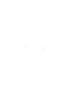 CCNc1nc(NCC)nc(NCC2CCC(CNS(C)(=O)=O)CC2)n1